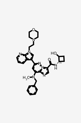 CN(Cc1ccccc1)c1cc(-c2cn(CCN3CCOCC3)c3ncccc23)nn2c(C(=O)N[C@H]3CCC3O)cnc12